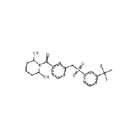 CC1CCCC(C)N1C(=O)c1cccc(CS(=O)(=O)c2cccc(C(F)(F)F)c2)n1